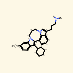 CN(C)CCCc1cn2c3c(cccc13)-c1c(C3CCCCC3)c3ccc(C(=O)O)cc3n1CCC2